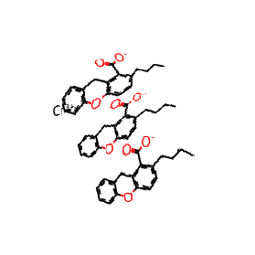 CCCCc1ccc2c(c1C(=O)[O-])Cc1ccccc1O2.CCCCc1ccc2c(c1C(=O)[O-])Cc1ccccc1O2.CCCCc1ccc2c(c1C(=O)[O-])Cc1ccccc1O2.[Cr+3]